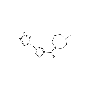 CC1CCCN(C(=O)c2csc(-c3cn[nH]c3)c2)CC1